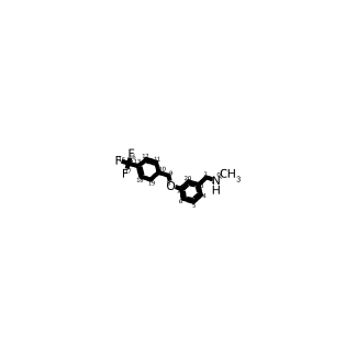 CNCc1cccc(OCC2C=CC(C(F)(F)F)=CC2)c1